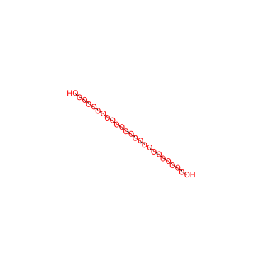 OCCOCCOCCOCCOCCOCCOCCOCCOCCOCCOCCOCCOCCOCCOCCOCCOCCOCCOCCOCCOCCOCCOCCOCCO